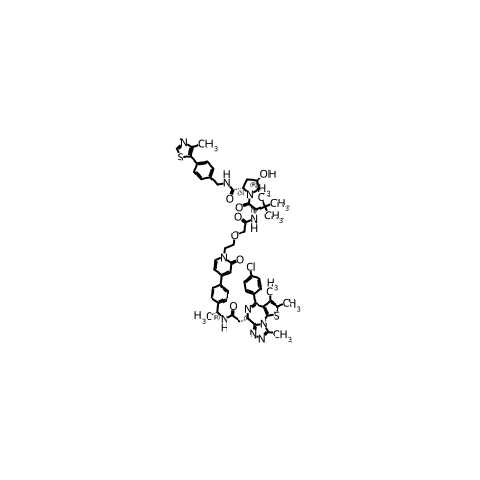 Cc1ncsc1-c1ccc(CNC(=O)[C@@H]2C[C@@H](O)CN2C(=O)[C@@H](NC(=O)COCCn2ccc(-c3ccc([C@@H](C)NC(=O)C[C@@H]4N=C(c5ccc(Cl)cc5)c5c(sc(C)c5C)-n5c(C)nnc54)cc3)cc2=O)C(C)(C)C)cc1